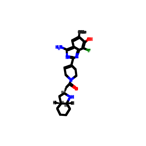 COc1cc2c(N)nc(C3=CCN(C(=O)C[C@H]4C[C@@H]5CCCC[C@@H]5N4)CC3)nc2c(F)c1O